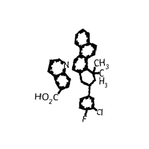 CC1(C)CC(c2ccc(F)c(Cl)c2)Cc2ccc3c(ccc4ccccc43)c21.O=C(O)c1ccc2ncccc2c1